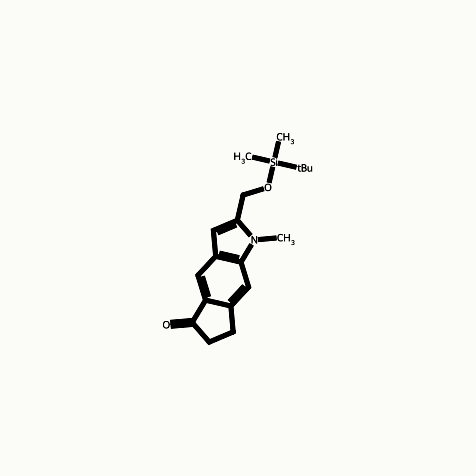 Cn1c(CO[Si](C)(C)C(C)(C)C)cc2cc3c(cc21)CCC3=O